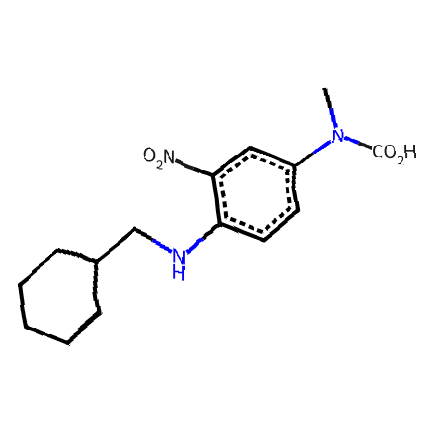 CN(C(=O)O)c1ccc(NCC2CCCCC2)c([N+](=O)[O-])c1